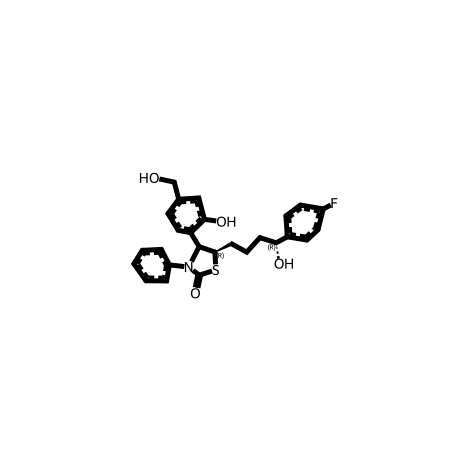 O=C1S[C@H](CCC[C@@H](O)c2ccc(F)cc2)C(c2ccc(CO)cc2O)N1c1ccccc1